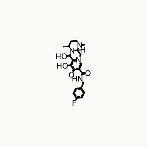 C[C@H]1CCN(C)[C@@H]2Cn3cc(C(=O)NCc4ccc(F)cc4)c(=O)c(O)c3C(O)N12